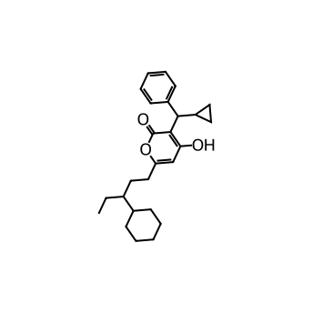 CCC(CCc1cc(O)c(C(c2ccccc2)C2CC2)c(=O)o1)C1CCCCC1